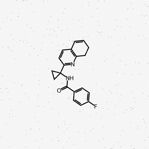 O=C(NC1(c2ccc3c(n2)CCC=[C]3)CC1)c1ccc(F)cc1